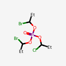 CCC(Cl)OP(=O)(OC(Br)CC)OC(Br)CC